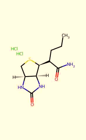 CCCC(C(N)=O)[C@@H]1SC[C@@H]2NC(=O)N[C@@H]21.Cl.Cl